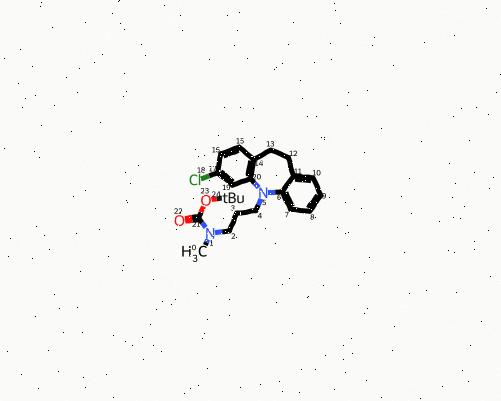 CN(CCCN1c2ccccc2CCc2ccc(Cl)cc21)C(=O)OC(C)(C)C